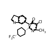 Cc1nc([C@H]2CC[C@@H](C(F)(F)F)CC2)n(-c2ccc3c(c2)N=CC3)c(=O)c1Cl